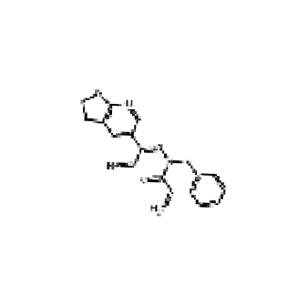 C=CC(=O)N(Cc1ccccc1)/N=C(\C=P)c1cnc2c(c1)CCO2